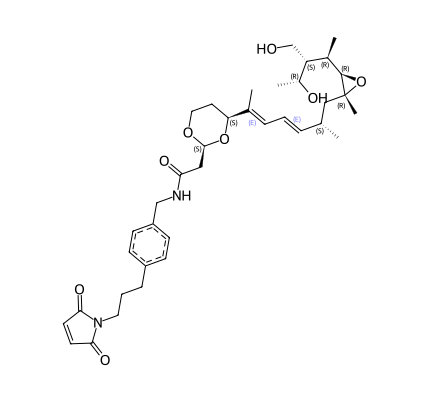 C/C(=C\C=C\[C@@H](C)C[C@@]1(C)O[C@@H]1[C@H](C)[C@@H](CO)[C@@H](C)O)[C@@H]1CCO[C@H](CC(=O)NCc2ccc(CCCN3C(=O)C=CC3=O)cc2)O1